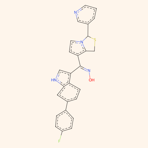 ON=C(c1ccn2c1CSC2c1cccnc1)c1c[nH]c2cc(-c3ccc(F)cc3)ccc12